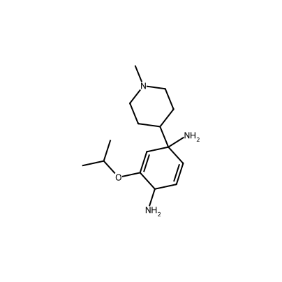 CC(C)OC1=CC(N)(C2CCN(C)CC2)C=CC1N